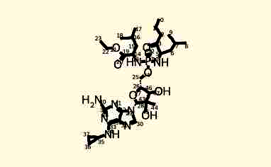 CCCC(=O)C(CC(C)C)NP(=O)(NC(CC(C)C)C(=O)OCC)OC[C@H]1O[C@@H](n2cnc3c(NC4CC4)nc(N)nc32)C(C)(O)C1O